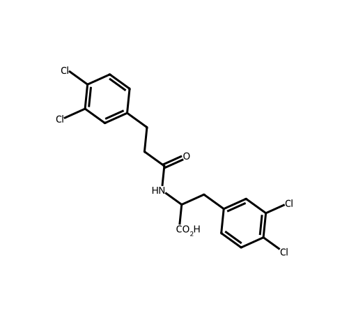 O=C(CCc1ccc(Cl)c(Cl)c1)NC(Cc1ccc(Cl)c(Cl)c1)C(=O)O